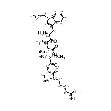 CCCC[C@@H](C(=O)N(C)[C@@H](CCCC)C(=O)N[C@@H](CC(C)C)C(=O)NCCSCC(N)CC)N(C)C(=O)[C@@H](N)Cc1cn(CC(=O)O)c2ccccc12